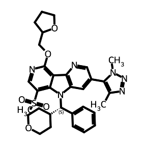 Cc1nnn(C)c1-c1cnc2c3c(OCC4CCCO4)ncc(S(C)(=O)=O)c3n([C@H](c3ccccc3)C3CCOCC3)c2c1